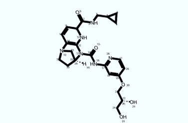 O=C(NCC1CC1)C1C=CC2=C(N1)N(C(=O)Nc1cc(OC[C@H](O)CO)ccn1)[C@H]1CCN2C1